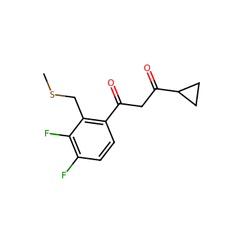 CSCc1c(C(=O)CC(=O)C2CC2)ccc(F)c1F